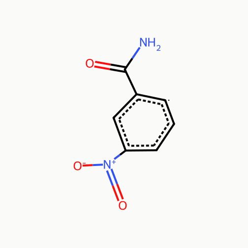 NC(=O)c1[c]ccc([N+](=O)[O-])c1